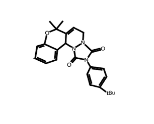 CC1(C)Oc2c[c]ccc2C2C1=CCn1c(=O)n(-c3ccc(C(C)(C)C)cc3)c(=O)n12